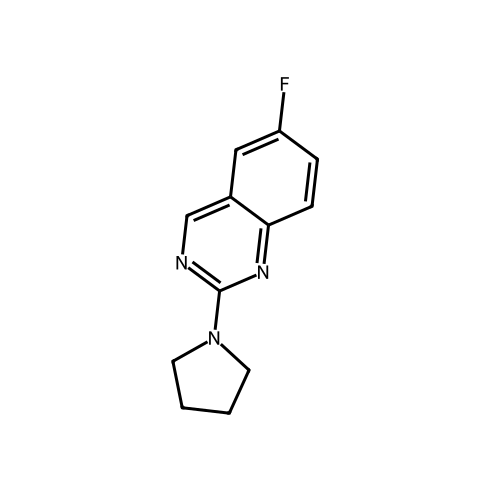 Fc1ccc2nc(N3CCCC3)ncc2c1